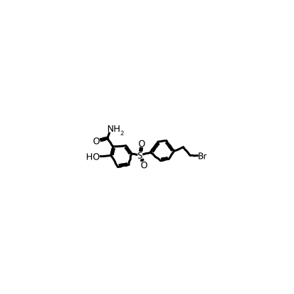 NC(=O)c1cc(S(=O)(=O)c2ccc(CCBr)cc2)ccc1O